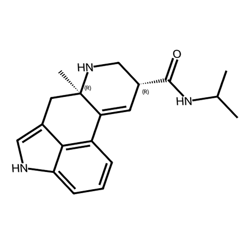 CC(C)NC(=O)[C@@H]1C=C2c3cccc4[nH]cc(c34)C[C@@]2(C)NC1